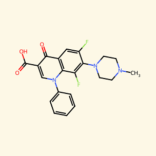 CN1CCN(c2c(F)cc3c(=O)c(C(=O)O)cn(-c4ccccc4)c3c2F)CC1